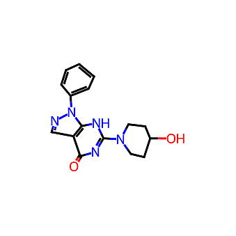 O=c1nc(N2CCC(O)CC2)[nH]c2c1cnn2-c1ccccc1